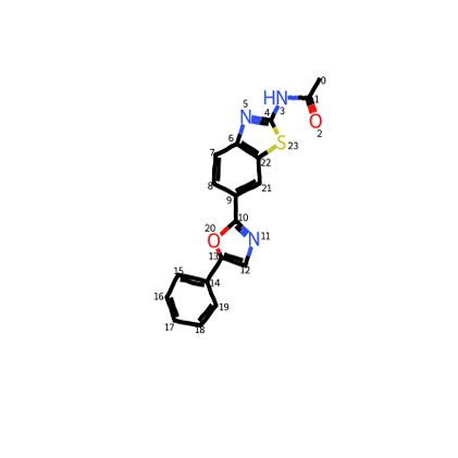 CC(=O)Nc1nc2ccc(-c3ncc(-c4ccccc4)o3)cc2s1